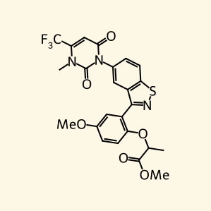 COC(=O)C(C)Oc1ccc(OC)cc1-c1nsc2ccc(-n3c(=O)cc(C(F)(F)F)n(C)c3=O)cc12